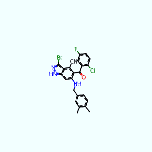 Cc1ccc(CNc2cc3[nH]nc(Br)c3c(C#N)c2C(=O)c2cc(F)ccc2Cl)cc1C